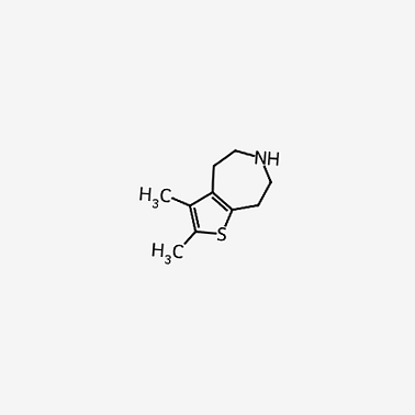 Cc1sc2c(c1C)CCNCC2